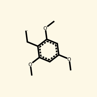 [CH2]Cc1c(OC)cc(OC)cc1OC